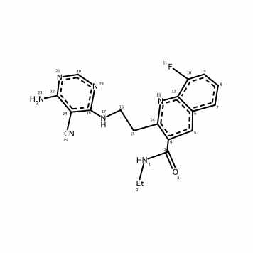 CCNC(=O)c1cc2cccc(F)c2nc1CCNc1ncnc(N)c1C#N